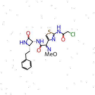 CO/N=C(\C(=O)N[C@H]1C(=O)N[C@H]1CCc1ccccc1)c1csc(NC(=O)CCl)n1